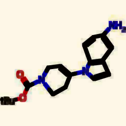 CC(C)(C)OC(=O)N1CC=C(n2ccc3cc(N)ccc32)CC1